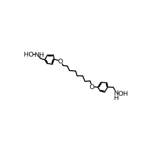 ONCc1ccc(OCCCCCCCCOc2ccc(CNO)cc2)cc1